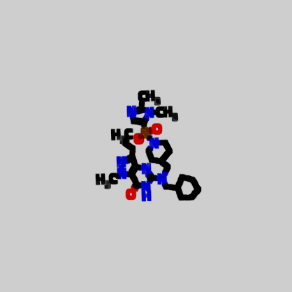 CCCc1nn(C)c2c(=O)[nH]c(N(CC3CCCCC3)CC3CCN(S(=O)(=O)c4cnc(C)n4C)CC3)nc12